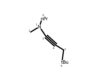 CCCN(C)C#CCC(C)(C)C